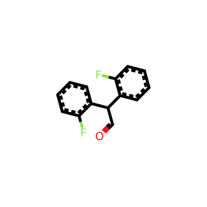 O=CC(c1ccccc1F)c1ccccc1F